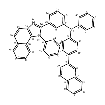 c1ccc(N(c2ccc(-c3ccc4ccccc4c3)cc2)c2cccc(-c3nc4ccc5ccccc5c4n3-c3ccccc3)c2)cc1